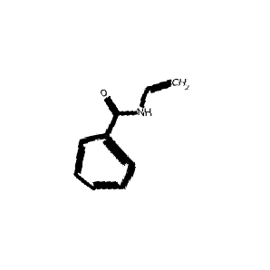 C=[C]NC(=O)c1ccccc1